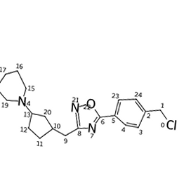 ClCc1ccc(-c2nc(CC3CCC(N4CCCCC4)C3)no2)cc1